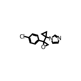 Clc1ccc(C2(C3(n4ccnc4)CC3)CO2)cc1